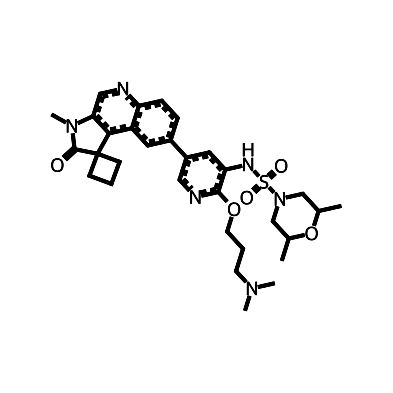 CC1CN(S(=O)(=O)Nc2cc(-c3ccc4ncc5c(c4c3)C3(CCC3)C(=O)N5C)cnc2OCCCN(C)C)CC(C)O1